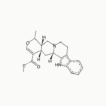 COC(=O)C1=COC(C)[C@@H]2CN3CCc4c([nH]c5ccccc45)[C@@H]3C[C@H]12